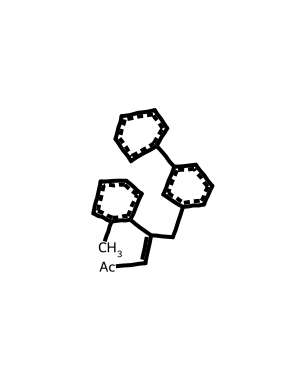 CC(=O)/C=C(/Cc1cccc(-c2ccccc2)c1)c1ccccc1C